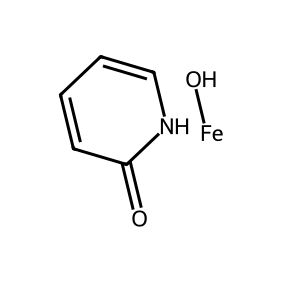 O=c1cccc[nH]1.[OH][Fe]